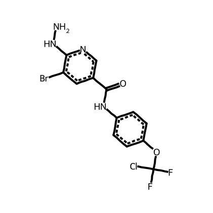 NNc1ncc(C(=O)Nc2ccc(OC(F)(F)Cl)cc2)cc1Br